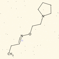 CC/C=N/OCCN1CCCC1